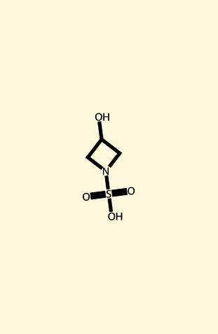 O=S(=O)(O)N1CC(O)C1